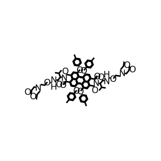 Cc1ccc(Oc2cc3c4c(cc(Oc5ccc(C)cc5)c5c6c(Oc7ccc(C)cc7)cc7c8c(cc(Oc9ccc(C)cc9)c(c2c45)c86)C(=O)N(C(C(=O)NCOCCN(CC2CO2)CC2CO2)C(C)C)C7=O)C(=O)N(C(C(=O)NCOCCN(CC2CO2)CC2CO2)C(C)C)C3=O)cc1